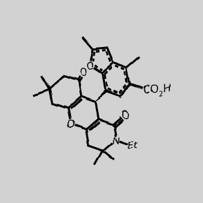 CCN1C(=O)C2=C(CC1(C)C)OC1=C(C(=O)CC(C)(C)C1)[C@H]2c1cc(C(=O)O)c(C)c2cc(C)oc12